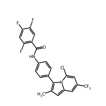 Cc1cc2cc(C(F)(F)F)cc(Cl)n2c1-c1ccc(NC(=O)c2cc(F)c(F)cc2F)cc1